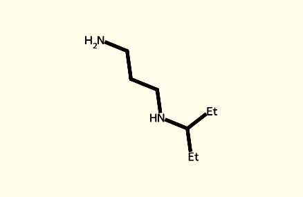 CCC(CC)NCCCN